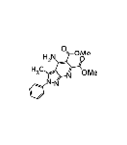 COC(=O)c1nc2nn(-c3ccccc3)c(C)c2c(N)c1C(=O)OC